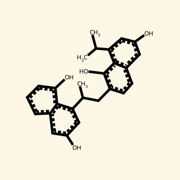 CC(C)c1cc(O)cc2ccc(CC(C)c3cc(O)cc4cccc(O)c34)c(O)c12